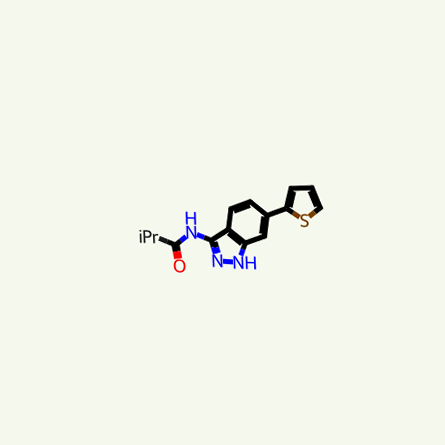 CC(C)C(=O)Nc1n[nH]c2cc(-c3cccs3)ccc12